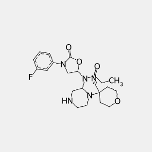 CCC(=O)N(C1CN(c2cccc(F)c2)C(=O)O1)C1CNCCN1C1(C#N)CCOCC1